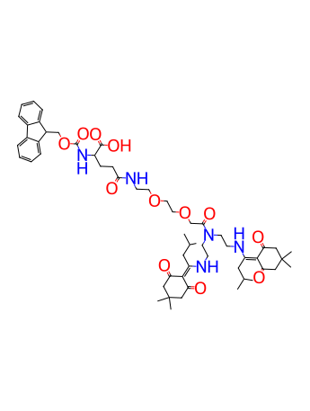 CC(C)CC(NCCN(CCNC(CC(C)C)=C1C(=O)CC(C)(C)CC1=O)C(=O)COCCOCCNC(=O)CCC(NC(=O)OCC1c2ccccc2-c2ccccc21)C(=O)O)=C1C(=O)CC(C)(C)CC1=O